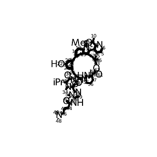 CCn1c(-c2cccnc2[C@H](C)OC)c2c3cc(ccc31)-c1cc(O)cc(c1)C[C@H](NC(=O)C(C(C)C)N(C)C(=O)c1ncc(NC(=O)/C=C/CN(C)C)n1C)C(=O)N1CCC[C@H](N1)C(=O)OCC(C)(C)C2